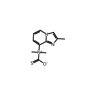 Cc1cn2cccc([N+](C)(C)C([O-])=S)c2n1